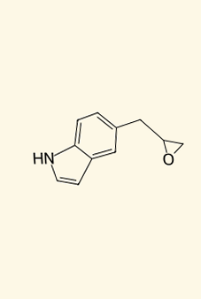 c1cc2cc(CC3CO3)ccc2[nH]1